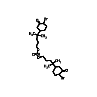 CC(C)(CCCO[PH](=O)OCCCC(C)(C)C1CCC(Br)C(=O)C1)C1CCC(Br)C(=O)C1